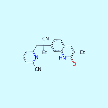 CCc1cc2ccc(C(C#N)(CC)Cc3cccc(C#N)n3)cc2[nH]c1=O